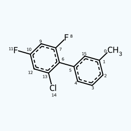 Cc1cccc(-c2c(F)cc(F)cc2Cl)c1